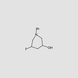 CC(C)N1CC(O)CC(F)C1